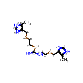 Cc1[nH]cnc1CSCCNC(=N)SCCSCc1nc[nH]c1C